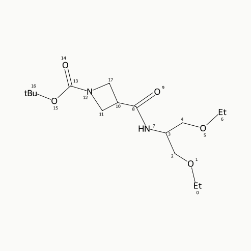 CCOCC(COCC)NC(=O)C1CN(C(=O)OC(C)(C)C)C1